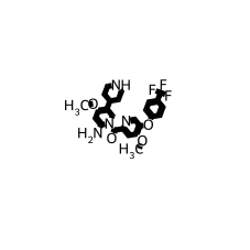 COC1=C(C2CCNCC2)CN(C(=O)c2cc(OC)c(Oc3ccc(C(F)(F)F)cc3)cn2)C(N)=C1